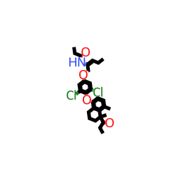 CC/C=C(\COc1cc(Cl)c(Oc2ccc(C)c3c2CCCC3(C)C(=O)CC)c(Cl)c1)NC(=O)CC